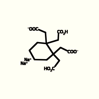 O=C([O-])CC1(CC(=O)O)CCCCC1(CC(=O)[O-])CC(=O)O.[Na+].[Na+]